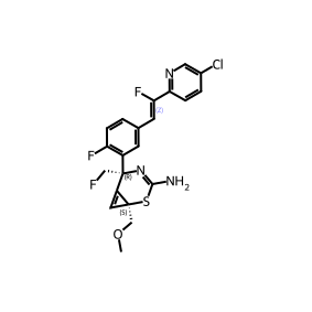 COC[C@]12C=C1[C@@](CF)(c1cc(/C=C(\F)c3ccc(Cl)cn3)ccc1F)N=C(N)S2